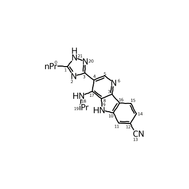 CCCc1nc(-c2cnc3c([nH]c4cc(C#N)ccc43)c2NC(C)C)n[nH]1